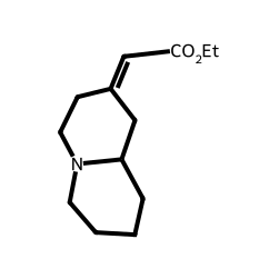 CCOC(=O)C=C1CCN2CCCCC2C1